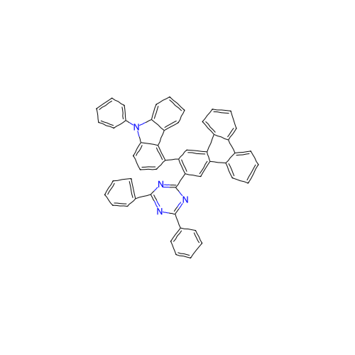 c1ccc(-c2nc(-c3ccccc3)nc(-c3cc4c5ccccc5c5ccccc5c4cc3-c3cccc4c3c3ccccc3n4-c3ccccc3)n2)cc1